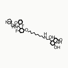 O=C(NC(c1ccccc1)c1c(F)ccc(OCCCCCCCCCNCC(O)c2ccc(O)c3[nH]c(=O)ccc23)c1F)OC1CN2CCC1CC2